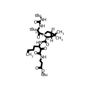 C=CCCC(NC(=O)[C@@H]1[C@@H]2[C@H](CN1C(=O)[C@@H](NC(=O)NC(C)(C)C)C(C)(C)C)C2(C)C)C(=O)C(=O)NCCC(=O)OC(C)(C)C